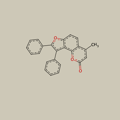 Cc1cc(=O)oc2c1ccc1oc(-c3ccccc3)c(-c3ccccc3)c12